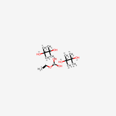 C=COB(O)O.CC(C)(O)C(C)(C)O.CC(C)(O)C(C)(C)O